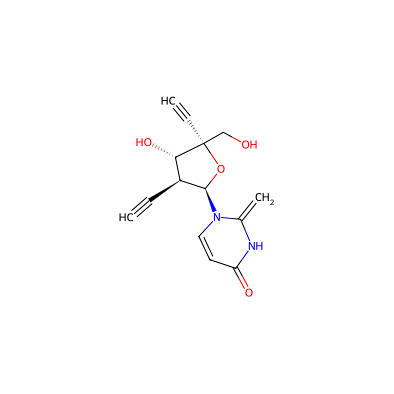 C#C[C@@H]1[C@H](N2C=CC(=O)NC2=C)O[C@](C#C)(CO)[C@H]1O